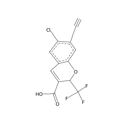 C#Cc1cc2c(cc1Cl)C=C(C(=O)O)C(C(F)(F)F)O2